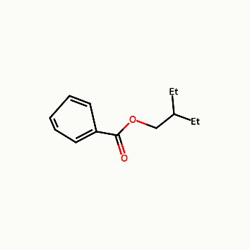 CCC(CC)COC(=O)c1ccccc1